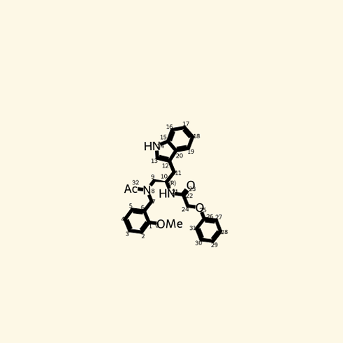 COc1ccccc1CN(C[C@@H](Cc1c[nH]c2ccccc12)NC(=O)COc1ccccc1)C(C)=O